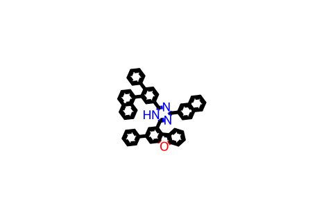 c1ccc(-c2cc(C3=NC(c4ccc5ccccc5c4)=NC(c4ccc(-c5ccccc5)c(-c5cccc6ccccc56)c4)N3)c3c(c2)oc2ccccc23)cc1